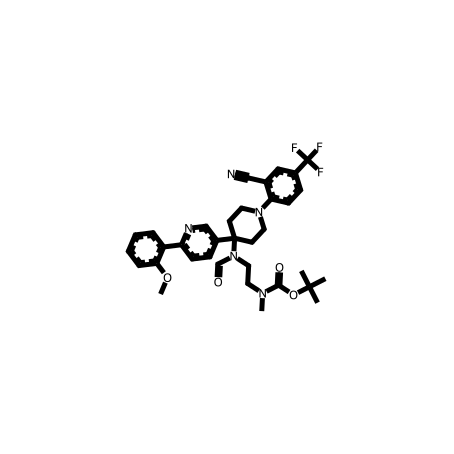 COc1ccccc1-c1ccc(C2(N(C=O)CCN(C)C(=O)OC(C)(C)C)CCN(c3ccc(C(F)(F)F)cc3C#N)CC2)cn1